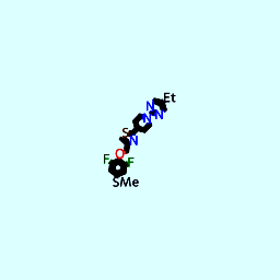 CCc1cnc(N2CCC(c3nc(COc4c(F)cc(SC)cc4F)cs3)CC2)nc1